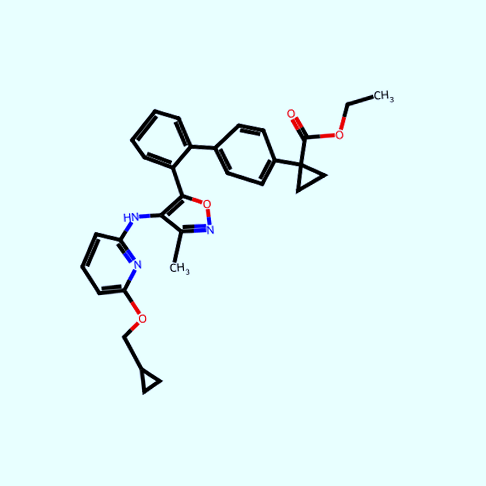 CCOC(=O)C1(c2ccc(-c3ccccc3-c3onc(C)c3Nc3cccc(OCC4CC4)n3)cc2)CC1